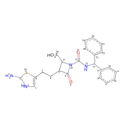 NC1NC=C(CCC2C(=O)N(C(=O)NC(c3ccccc3)c3ccccc3)C2C(=O)O)S1